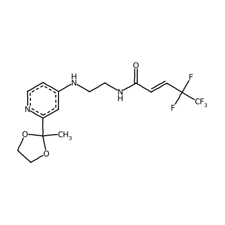 CC1(c2cc(NCCNC(=O)C=CC(F)(F)C(F)(F)F)ccn2)OCCO1